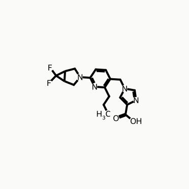 CCCc1nc(N2CC3C(C2)C3(F)F)ccc1Cn1cnc(C(=O)O)c1